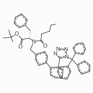 CCCCC(=O)N(Cc1ccc(-c2ccccc2-c2nnnn2C(c2ccccc2)(c2ccccc2)c2ccccc2)cc1)[C@@H](Cc1ccccc1)C(=O)OC(C)(C)C